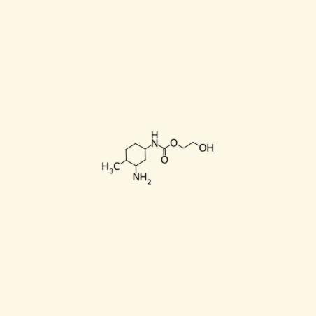 CC1CCC(NC(=O)OCCO)CC1N